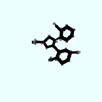 CN1CC(c2cc(Cl)ccc2O)[C@@H](c2ccccc2I)C1